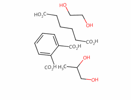 CC(O)CO.O=C(O)CCCCC(=O)O.O=C(O)c1ccccc1C(=O)O.OCCO